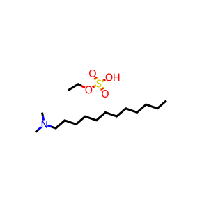 CCCCCCCCCCCCN(C)C.CCOS(=O)(=O)O